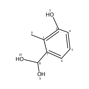 Cc1c(O)cccc1C(O)O